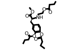 CCCC(=O)OCCN[C@@H](Cc1ccc(OC(=O)CCC)c(OC(=O)CCC)c1)C(=O)OC